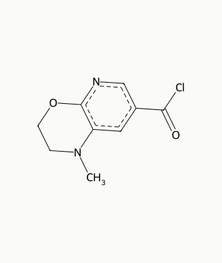 CN1CCOc2ncc(C(=O)Cl)cc21